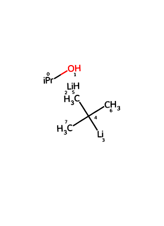 CC(C)O.[LiH].[Li][C](C)(C)C